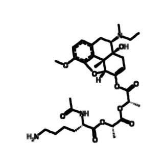 CCN(C)[C@@H]1Cc2ccc(OC)c3c2[C@@]2(C)[C@@H](O3)C(OC(=O)[C@H](C)OC(=O)[C@H](C)OC(=O)[C@H](CCCCN)NC(C)=O)=CC[C@@]12O